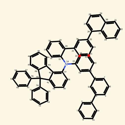 c1ccc(-c2cccc(-c3cccc(N(c4ccccc4-c4cccc(-c5cccc6ccccc56)c4)c4cccc5c4-c4ccccc4C5(c4ccccc4)c4ccccc4)c3)c2)cc1